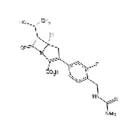 CNC(=O)NCc1ccc(C2=C(C(=O)O)N3C(=O)[C@H]([C@@H](C)O)[C@H]3C2)cc1F